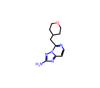 Nc1nc2ccnc(CC3CCOCC3)n2n1